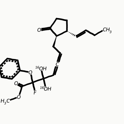 CC/C=C/[C@H]1CCC(=O)[C@@H]1CC=C=CC([16OH])([16OH])C(F)(Oc1ccccc1)C(=O)OC